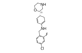 Fc1cc(Cl)ccc1CNC1=CCC([C@H]2CNCCO2)C=C1